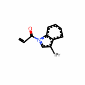 C=CC(=O)n1cc(C(C)C)c2ccccc21